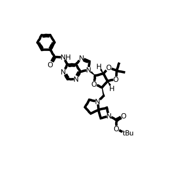 CC(C)(C)OC(=O)N1CC2(CCCN2C[C@H]2O[C@@H](n3cnc4c(NC(=O)c5ccccc5)ncnc43)[C@@H]3OC(C)(C)O[C@@H]32)C1